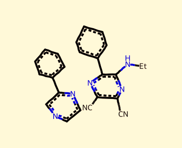 CCNc1nc(C#N)c(C#N)nc1-c1ccccc1.c1ccc(-c2cnccn2)cc1